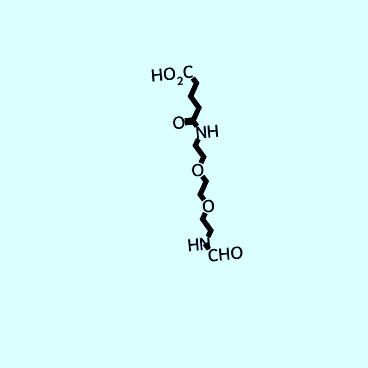 O=CNCCOCCOCCNC(=O)CCCC(=O)O